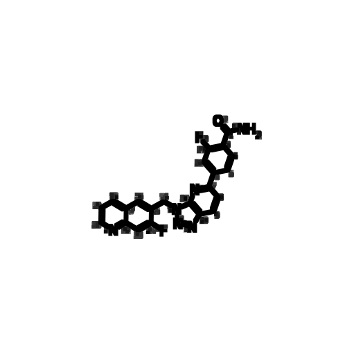 NC(=O)c1ccc(-c2ccc3nnn(Cc4cc5cccnc5cc4F)c3n2)cc1F